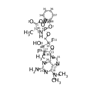 COC(=O)[C@@H](C)NP(=O)(OC[C@@]1(F)O[C@@H](n2cnc3c(N(C)C)nc(N)nc32)[C@](C)(F)[C@@H]1O)Oc1ccccc1